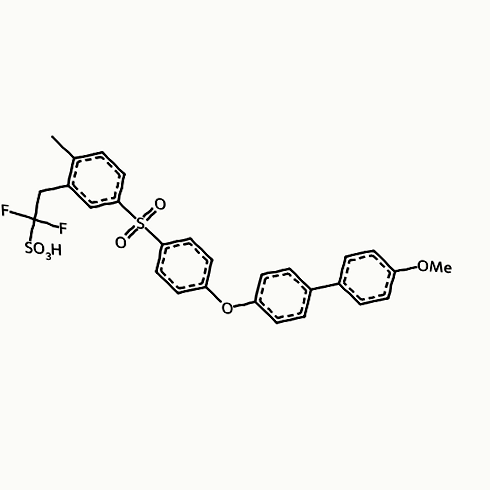 COc1ccc(-c2ccc(Oc3ccc(S(=O)(=O)c4ccc(C)c(CC(F)(F)S(=O)(=O)O)c4)cc3)cc2)cc1